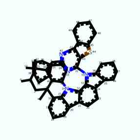 CC1CC2(C)c3c(cccc3C1(C)C)-n1c3c2cccc3c2ccc3c4ccccc4n(-c4nc(-c5ccccc5)nc5c4sc4ccccc45)c3c21